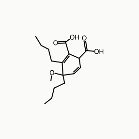 CCCCC1=C(C(=O)O)C(C(=O)O)C=CC1(CCCC)OC